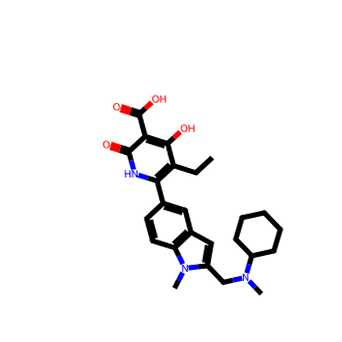 CCc1c(-c2ccc3c(c2)cc(CN(C)C2CCCCC2)n3C)[nH]c(=O)c(C(=O)O)c1O